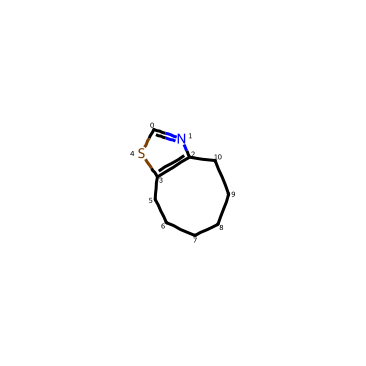 c1nc2c(s1)CCCCCC2